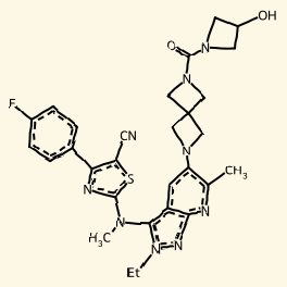 CCn1nc2nc(C)c(N3CC4(CN(C(=O)N5CC(O)C5)C4)C3)cc2c1N(C)c1nc(-c2ccc(F)cc2)c(C#N)s1